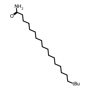 CC(C)(C)CCCCCCCCCCCCCCCCC(N)=O